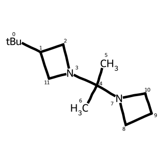 CC(C)(C)C1CN(C(C)(C)N2CCC2)C1